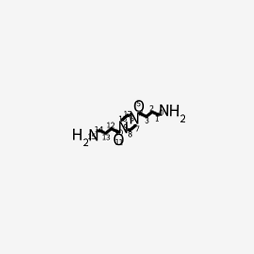 NCCCC(=O)N1CCN(C(=O)CCCN)CC1